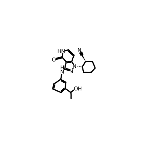 CC(O)c1cccc(Nc2nn([C@H]3CCCC[C@@H]3C#N)c3cc[nH]c(=O)c23)c1